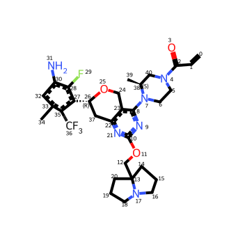 C=CC(=O)N1CCN(c2nc(OCC34CCCN3CCC4)nc3c2CO[C@@H](c2c(F)c(N)cc(C)c2C(F)(F)F)C3)[C@@H](C)C1